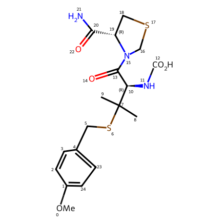 COc1ccc(CSC(C)(C)[C@H](NC(=O)O)C(=O)N2CSC[C@H]2C(N)=O)cc1